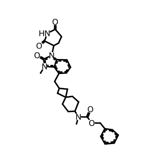 CN(C(=O)OCc1ccccc1)C1CCC2(CC1)CC(Cc1cccc3c1n(C)c(=O)n3C1CCC(=O)NC1=O)C2